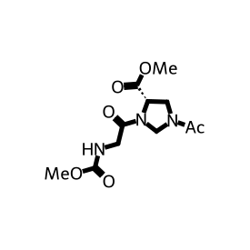 COC(=O)NCC(=O)N1CN(C(C)=O)C[C@H]1C(=O)OC